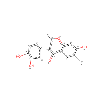 CCc1cc2c(=O)c(-c3ccc(O)c(O)c3)c(C)oc2cc1O